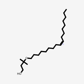 CCCCCCCC/C=C\CCCCCCCCOC(C)(C)CCO